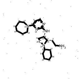 NCC[C@H]1[C@@H](Nc2nccc(N3CCCCCC3)n2)CCN1C1CCCCC1